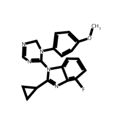 COc1ccc(N2CN=CN=C2n2c(C3CC3)nc3c(F)cccc32)cc1